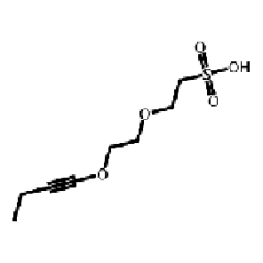 CCC#COCCOCCS(=O)(=O)O